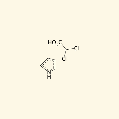 O=C(O)C(Cl)Cl.c1cc[nH]c1